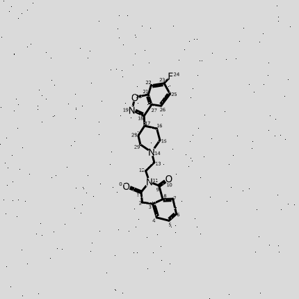 O=C1Cc2ccccc2C(=O)N1CCN1CCC(c2noc3cc(F)ccc23)CC1